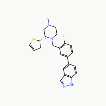 CN1CCN(Cc2cc(-c3ccc4[nH]ncc4c3)ccc2F)[C@H](C2CC=CS2)C1